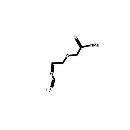 C=C/N=C\COCC(=O)NC